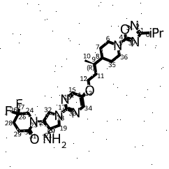 CC(C)c1noc(N2CCC([C@H](C)CCOc3cnc(N4C[C@H](N)[C@@H](N5CC(F)(F)CCC5=O)C4)nc3)CC2)n1